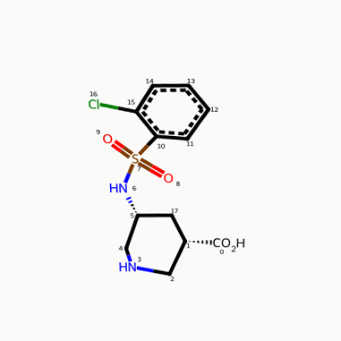 O=C(O)[C@@H]1CNC[C@H](NS(=O)(=O)c2ccccc2Cl)C1